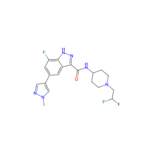 Cn1cc(-c2cc(F)c3[nH]nc(C(=O)NC4CCN(CC(F)F)CC4)c3c2)cn1